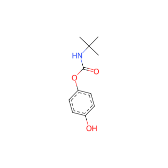 CC(C)(C)NC(=O)Oc1ccc(O)cc1